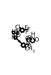 Cc1ccc(C#Cc2cnn(C3(C(=O)Nc4ccc(C(F)(F)F)cc4Cl)CCC3)c2)cc1C(=O)N(C=O)C1CCC(=O)NC1=O